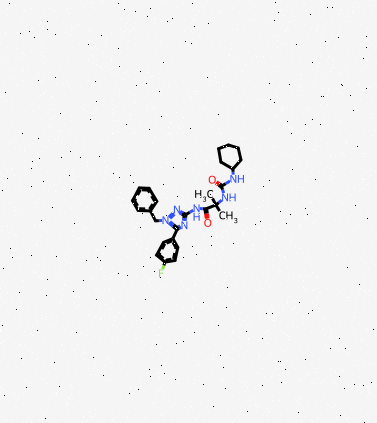 CC(C)(NC(=O)NC1CCCCC1)C(=O)Nc1nc(-c2ccc(F)cc2)n(Cc2ccccc2)n1